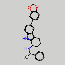 C[C@@H](NC1CCCc2c1[nH]c1ccc(-c3ccc4c(c3)OCO4)cc21)c1ccccc1